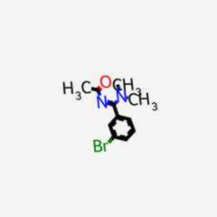 CC(=O)N=C(c1cccc(Br)c1)N(C)C